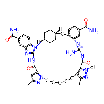 CCn1nc(C)c2c1C(=O)N/C(N)=N/c1cc(C(N)=O)ccc1C[C@H]1CC[C@@H](CC1)n1c(nc3cc(C(N)=O)ccc31)NC(=O)c1cc(C)nn1CCCCC2